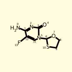 Nc1nc(=O)n(C2OCCS2)cc1F